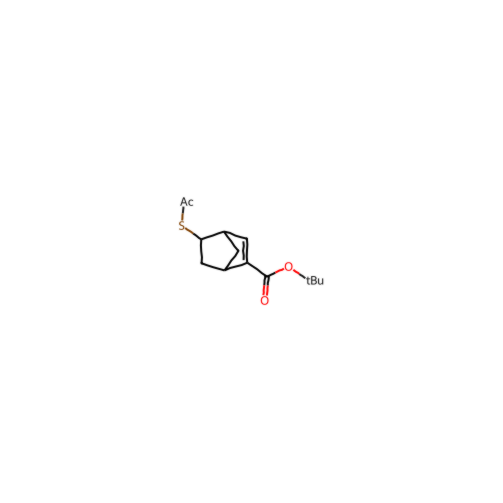 CC(=O)SC1CC2CC1C=C2C(=O)OC(C)(C)C